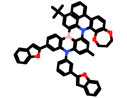 Cc1cc2c3c(c1)N(c1c(-c4ccccc4)ccc4c1OCCCO4)c1ccc(C(C)(C)C)cc1B3c1ccc(-c3cc4ccccc4o3)cc1N2c1cccc(-c2cc3ccccc3o2)c1